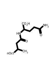 CCCCCCCCC(C)CC(=O)NC(CCC(N)=O)C(=O)O